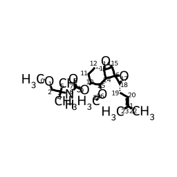 COCC(C)(C)NC(=O)OC1CC[C@]23OC2C2(O[C@@H]2CC=C(C)C)C3C1OC